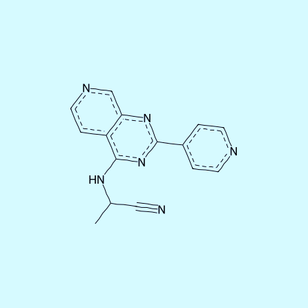 CC(C#N)Nc1nc(-c2ccncc2)nc2cnccc12